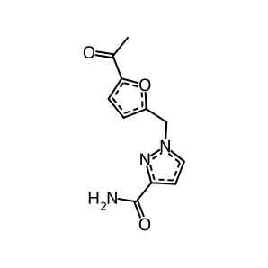 CC(=O)c1ccc(Cn2ccc(C(N)=O)n2)o1